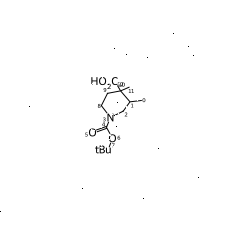 CC1CN(C(=O)OC(C)(C)C)CCC1(C)C(=O)O